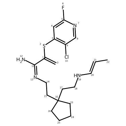 C=C(Sc1cc(F)ncc1Cl)/C(N)=N\CCC1(CCN/C=C/C)CCCC1